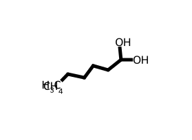 C.CCCCCC(O)O